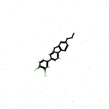 CCCc1ccc2c(c1)Cc1cc(-c3ccc(F)c(F)c3)ccc1-2